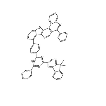 CC1(C)c2ccccc2-c2cc(C3=NC(c4ccc(-c5cccc6sc7c(ccc8c(-c9ccccc9)nc9ccccc9c87)c56)cc4)NC(c4ccccc4)=N3)ccc21